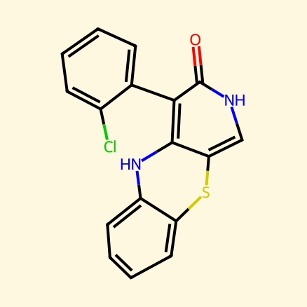 O=c1[nH]cc2c(c1-c1ccccc1Cl)Nc1ccccc1S2